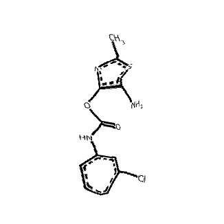 Cc1nc(OC(=O)Nc2cccc(Cl)c2)c(N)s1